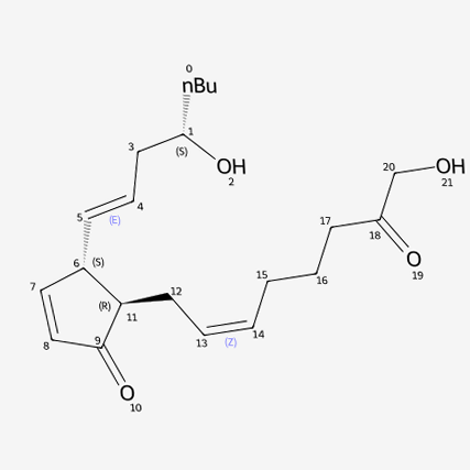 CCCC[C@H](O)C/C=C/[C@H]1C=CC(=O)[C@@H]1C/C=C\CCCC(=O)CO